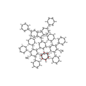 N#Cc1c(-c2ccccc2)c(-c2ccccc2)c(-c2cc(-c3c(-c4ccccc4)c(-c4ccccc4)c(C#N)c(-c4ccccc4)c3-c3ccccc3)cc(-n3c4ccc(-c5ccccc5)cc4c4cc(-c5ccccc5)ccc43)c2)c(-c2ccccc2)c1-c1ccccc1